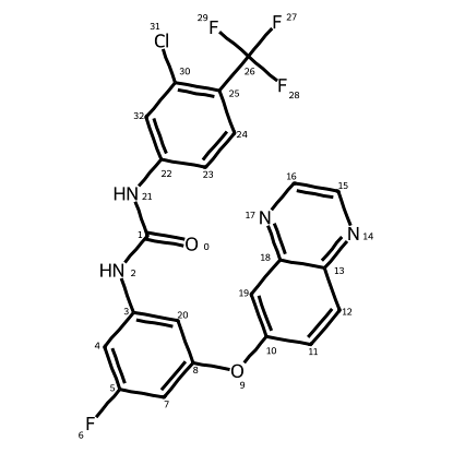 O=C(Nc1cc(F)cc(Oc2ccc3nccnc3c2)c1)Nc1ccc(C(F)(F)F)c(Cl)c1